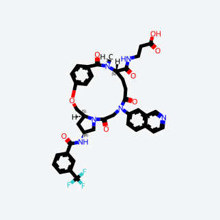 CN1C(=O)c2ccc(cc2)OC[C@@H]2C[C@@H](NC(=O)c3cccc(C(F)(F)F)c3)CN2C(=O)CN(c2ccc3ccncc3c2)C(=O)CC[C@H]1C(=O)NCCC(=O)O